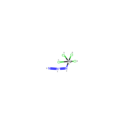 [N-]=[N+]=[N][Pd]([Cl])([Cl])([Cl])[Cl]